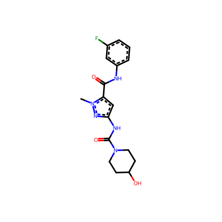 Cn1nc(NC(=O)N2CCC(O)CC2)cc1C(=O)Nc1cccc(F)c1